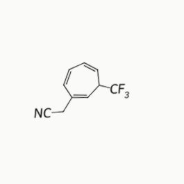 N#CCC1=CC(C(F)(F)F)C=CC=C1